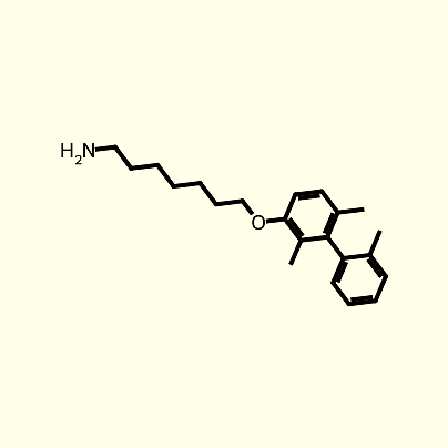 Cc1ccccc1-c1c(C)ccc(OCCCCCCCN)c1C